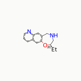 CC[C@@H]1CNCc2cc3ncccc3cc2O1